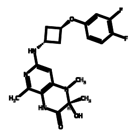 Cc1nc(N[C@H]2C[C@H](Oc3ccc(F)c(F)c3)C2)cc2c1NC(=O)[C@@](C)(O)N2C